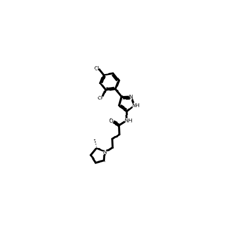 C[C@H]1CCCN1CCCC(=O)Nc1cc(-c2ccc(Cl)cc2Cl)n[nH]1